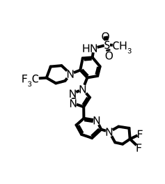 CS(=O)(=O)Nc1ccc(-n2cc(-c3cccc(N4CCC(F)(F)CC4)n3)nn2)c(N2CCC(C(F)(F)F)CC2)c1